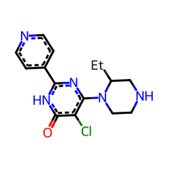 CCC1CNCCN1c1nc(-c2ccncc2)[nH]c(=O)c1Cl